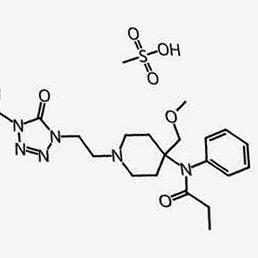 CCC(=O)N(c1ccccc1)C1(COC)CCN(CCn2nnn(CC)c2=O)CC1.CS(=O)(=O)O